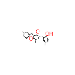 COC1=CCC(C)C=C1Cc1cc(C)cc(Cc2cc(C)ccc2O)c1OC